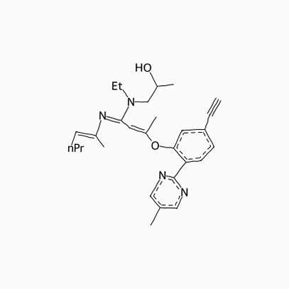 C#Cc1ccc(-c2ncc(C)cn2)c(O/C(C)=C/C(=N\C(C)=C\CCC)N(CC)CC(C)O)c1